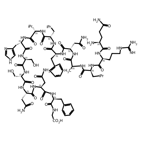 CC(C)C[C@H](NC(=O)[C@H](CCCNC(=N)N)NC(=O)[C@@H](N)CCC(N)=O)C(=O)N[C@@H](C)C(=O)N[C@@H](CC(N)=O)C(=O)N[C@@H](Cc1ccccc1)C(=O)N[C@@H](CC(C)C)C(=O)N[C@H](C(=O)N[C@@H](Cc1c[nH]cn1)C(=O)N[C@@H](CO)C(=O)N[C@@H](CO)C(=O)N[C@@H](CC(N)=O)C(=O)N[C@@H](CC(N)=O)C(=O)N[C@@H](Cc1ccccc1)C(=O)NCC(=O)O)C(C)C